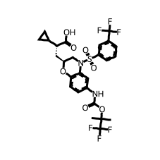 CC(C)(OC(=O)Nc1ccc2c(c1)N(S(=O)(=O)c1cccc(C(F)(F)F)c1)C[C@H](C[C@@H](C(=O)O)C1CC1)O2)C(F)(F)F